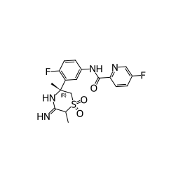 CC1C(=N)N[C@](C)(c2cc(NC(=O)c3ccc(F)cn3)ccc2F)CS1(=O)=O